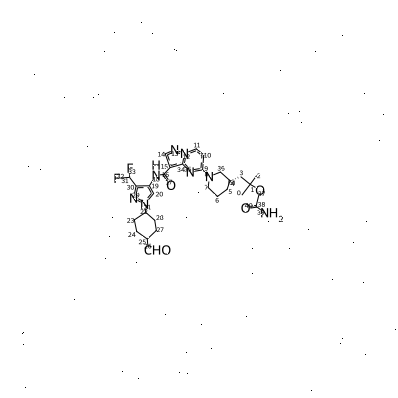 CC(C)(C[C@@H]1CCCN(c2ccn3ncc(C(=O)Nc4cn(C5CCC(C=O)CC5)nc4C(F)F)c3n2)C1)OC(N)=O